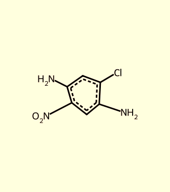 Nc1cc([N+](=O)[O-])c(N)cc1Cl